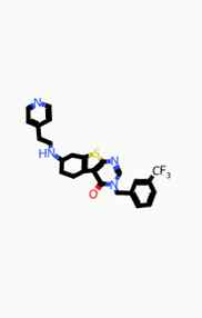 O=c1c2c3c(sc2ncn1Cc1cccc(C(F)(F)F)c1)CC(NCCc1ccncc1)CC3